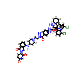 O=C1CCC(N2Cc3c(NC4CCN(CCNC(=O)c5ccc(NC(=O)[C@@H]6NC7(CCCCC7)[C@]78C(=O)Nc9cc(Cl)c(cc97)-c7c(Cl)cccc7[C@@H]68)cc5)CC4)cccc3C2=O)C(=O)N1